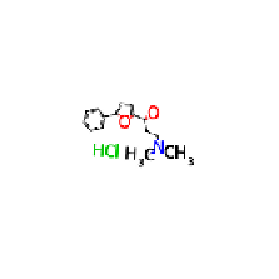 CN(C)CCC(=O)c1ccc(-c2ccccc2)o1.Cl